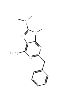 CC(C)n1c(N(C)C)nc2c(N)nc(Cc3ccccc3)nc21